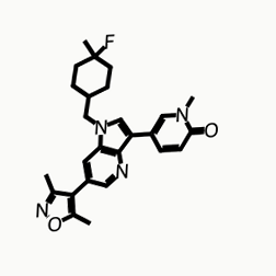 Cc1noc(C)c1-c1cnc2c(-c3ccc(=O)n(C)c3)cn(CC3CCC(C)(F)CC3)c2c1